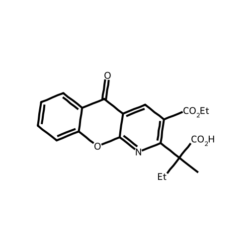 CCOC(=O)c1cc2c(=O)c3ccccc3oc2nc1C(C)(CC)C(=O)O